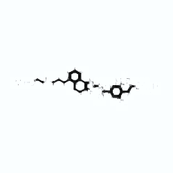 COCCOCCCc1cccc2c1CCc1sc(NC(=O)c3cc(Cl)c(C=C(C)C(=O)O)c(Cl)c3)nc1-2